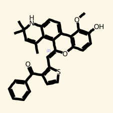 COc1c(O)ccc2c1-c1ccc3c(c1/C(=C/c1sccc1C(=O)c1ccccc1)O2)C(C)=CC(C)(C)N3